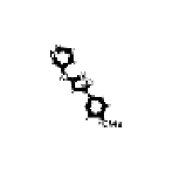 COc1ccc([C@H]2CC(Oc3cccnc3)=NO2)cc1